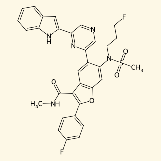 CNC(=O)c1c(-c2ccc(F)cc2)oc2cc(N(CCCF)S(C)(=O)=O)c(-c3cncc(-c4cc5ccccc5[nH]4)n3)cc12